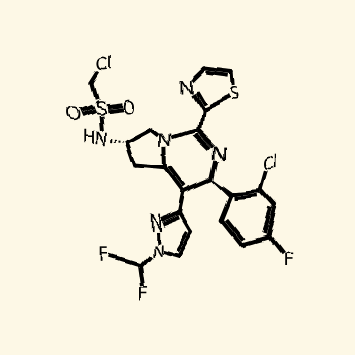 O=S(=O)(CCl)N[C@H]1CC2=C(c3ccn(C(F)F)n3)[C@H](c3ccc(F)cc3Cl)N=C(c3nccs3)N2C1